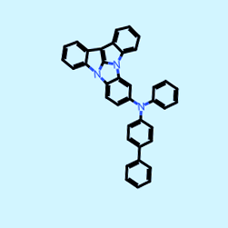 c1ccc(-c2ccc(N(c3ccccc3)c3ccc4c(c3)n3c5ccccc5c5c6ccccc6n4c53)cc2)cc1